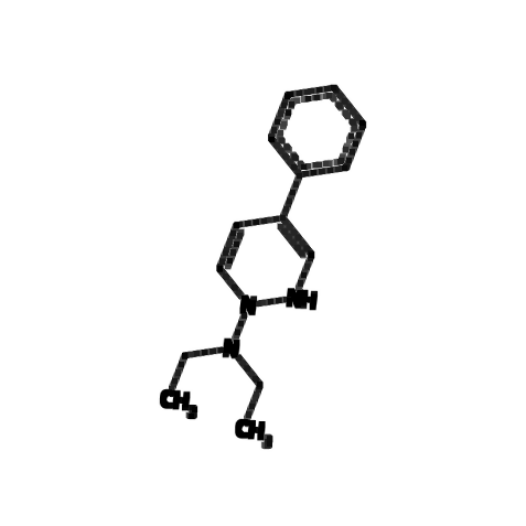 CCN(CC)N1C=CC(c2ccccc2)=CN1